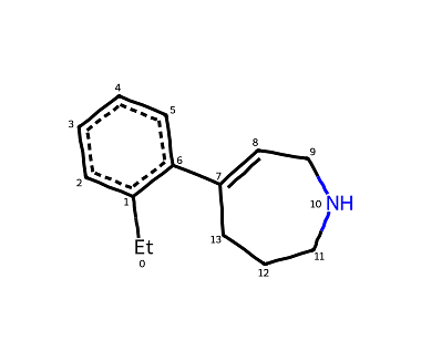 CCc1ccccc1C1=CCNCCC1